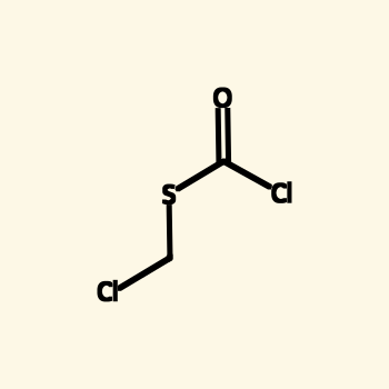 O=C(Cl)SCCl